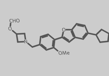 COc1cc(CN2CC(OC=O)C2)ccc1-c1cc2cc(C3CCCC3)ccc2o1